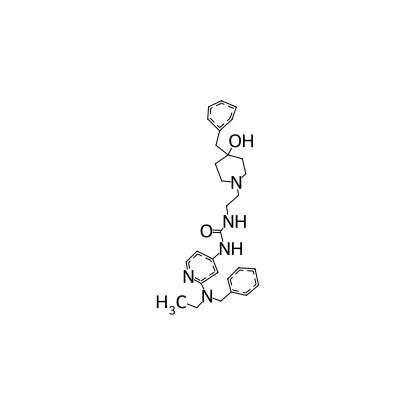 CCN(Cc1ccccc1)c1cc(NC(=O)NCCN2CCC(O)(Cc3ccccc3)CC2)ccn1